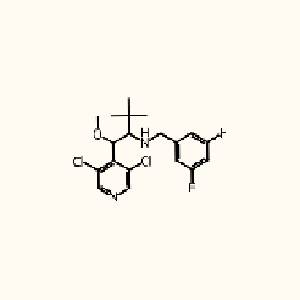 COC(c1c(Cl)cncc1Cl)C(NCc1cc(F)cc(F)c1)C(C)(C)C